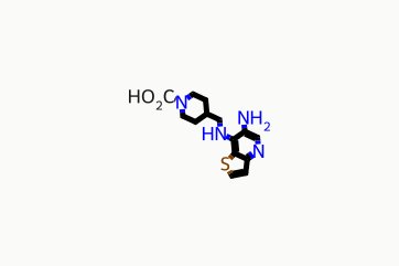 Nc1cnc2ccsc2c1NCC1CCN(C(=O)O)CC1